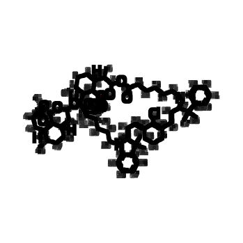 C[C@@H]1CC[C@H]2[C@@H](C)C(OC(=O)CCCCC[N+]3=C(/C=C/C4=C(Cl)C(=C/C=C5/N(CCCCCC(=O)OC6O[C@@H]7O[C@]8(C)CC[C@H]9[C@H](C)CC[C@@H]([C@H]6C)[C@@]79O8)c6ccccc6C5(C)C)/CCC4)C(C)(C)c4ccccc43)O[C@@H]3O[C@]4(C)CC[C@@H]1[C@]32OO4